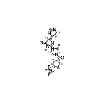 C[C@@H]1CN(C(=O)c2ccc(OC(F)(F)F)cc2)CCN1c1nc(-c2ccncn2)cc(=O)n1C